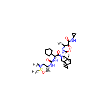 CCCC(NC(=O)[C@@H]1[C@H]2CCC3(CC3)[C@H]2CN1C(=O)[C@@H](NC(=O)N[C@H](CN(C)[S+](C)[O-])C(C)(C)C)C1CCCCC1)C(=O)C(=O)NC1CC1